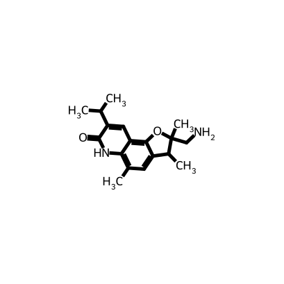 Cc1cc2c(c3cc(C(C)C)c(=O)[nH]c13)OC(C)(CN)C2C